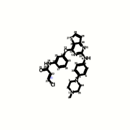 CN1CCN(c2ccc(Nc3nc(Oc4cccc(NC(=O)/C=C/Cl)c4)c4sccc4n3)cc2)CC1